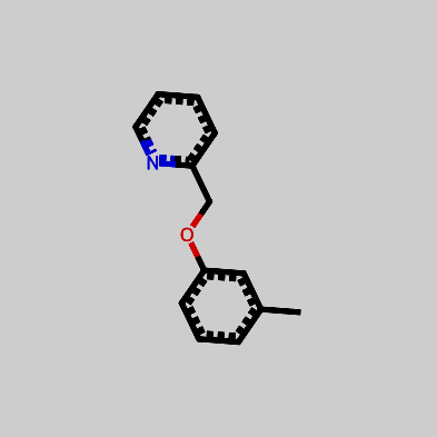 Cc1cccc(OCc2ccccn2)c1